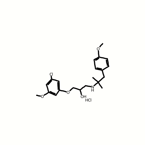 COc1ccc(CC(C)(C)NCC(O)COc2cc(Cl)cc(OC)c2)cc1.Cl